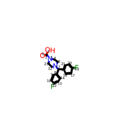 O=C(O)N1CCN(C(c2ccc(F)cc2)c2ccc(F)cc2)CC1